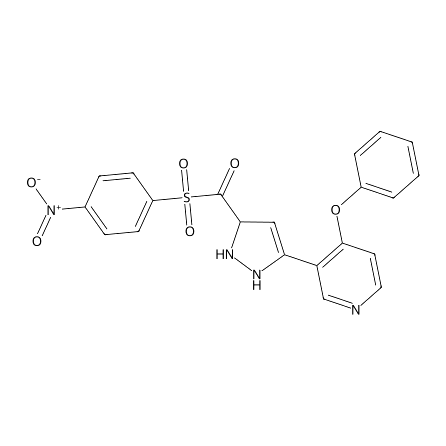 O=C(C1C=C(c2cnccc2Oc2ccccc2)NN1)S(=O)(=O)c1ccc([N+](=O)[O-])cc1